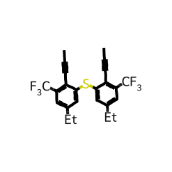 CC#Cc1c(Sc2cc(CC)cc(C(F)(F)F)c2C#CC)cc(CC)cc1C(F)(F)F